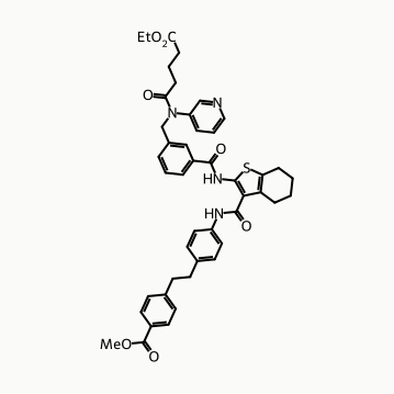 CCOC(=O)CCCC(=O)N(Cc1cccc(C(=O)Nc2sc3c(c2C(=O)Nc2ccc(CCc4ccc(C(=O)OC)cc4)cc2)CCCC3)c1)c1cccnc1